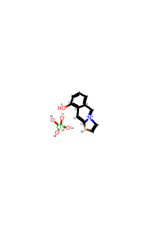 Oc1cccc2c[n+]3ccsc3cc12.[O-][Cl+3]([O-])([O-])[O-]